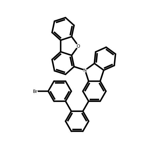 Brc1cccc(-c2ccccc2-c2ccc3c4ccccc4n(-c4cccc5c4oc4ccccc45)c3c2)c1